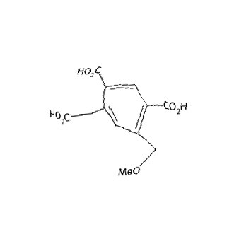 COCc1cc(C(=O)O)c(C(=O)O)cc1C(=O)O